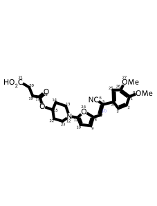 COc1ccc(/C(C#N)=C/c2ccc(N3CCC(OC(=O)CCC(=O)O)CC3)o2)cc1OC